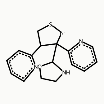 c1ccc(C2CS[N]C2(c2ccccn2)C2NCCO2)nc1